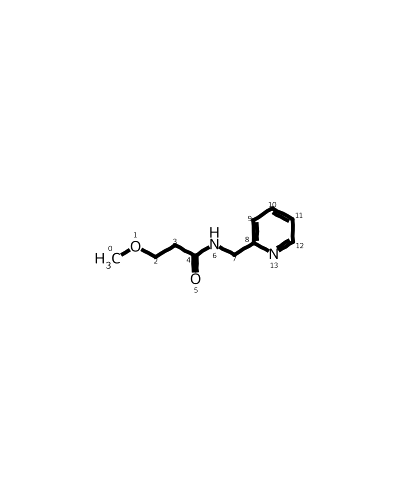 COCCC(=O)NCc1ccccn1